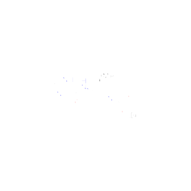 CO[C@H]1CN(C(=O)OC(C)(C)C)CC[C@H]1NC(=O)c1ncc[nH]1